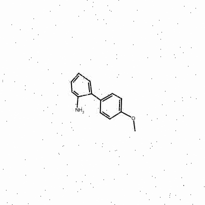 COc1ccc(-c2cc[c]cc2N)cc1